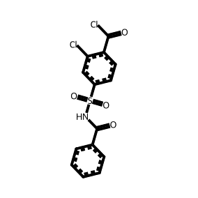 O=C(NS(=O)(=O)c1ccc(C(=O)Cl)c(Cl)c1)c1ccccc1